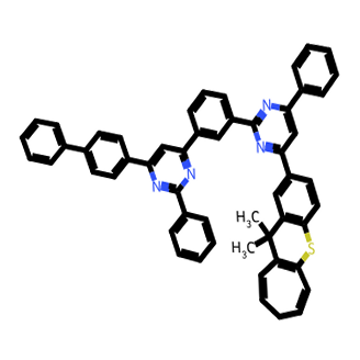 CC1(C)C2=C(C=CCC=C2)Sc2ccc(-c3cc(-c4ccccc4)nc(-c4cccc(-c5cc(-c6ccc(-c7ccccc7)cc6)nc(-c6ccccc6)n5)c4)n3)cc21